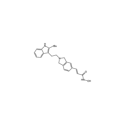 CC(C)(C)c1[nH]c2ccccc2c1CCN1Cc2ccc(/C=C/C(=O)NO)cc2C1